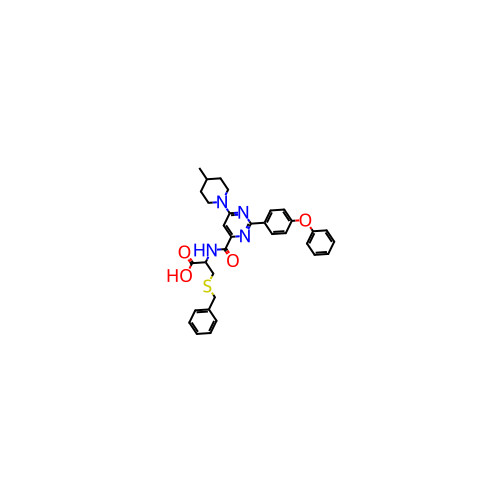 CC1CCN(c2cc(C(=O)NC(CSCc3ccccc3)C(=O)O)nc(-c3ccc(Oc4ccccc4)cc3)n2)CC1